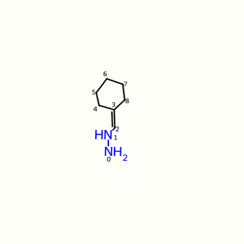 NNC=C1CCCCC1